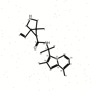 C=CC12CNCC1(C)C2C(=O)NC(C)(C)c1c(C)cc2c(C)cccn12